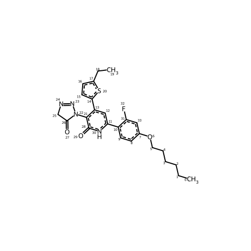 CCCCCCOc1ccc(-c2cc(-c3ccc(CC)s3)c(N3N=NCC3=O)c(=O)[nH]2)c(F)c1